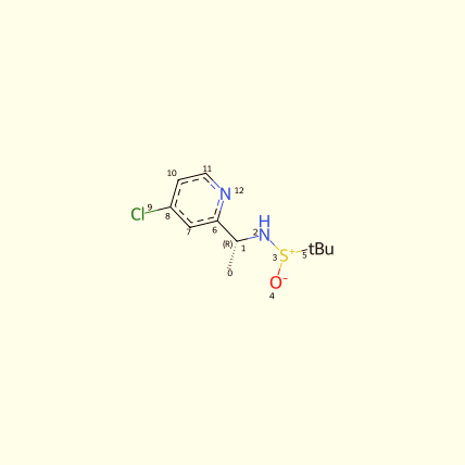 C[C@@H](N[S+]([O-])C(C)(C)C)c1cc(Cl)ccn1